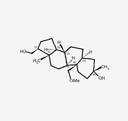 COC[C@]12CC[C@@](C)(O)C[C@@H]1CC[C@H]1[C@@H]3CC[C@H](CO)[C@@]3(C)CC[C@@H]12